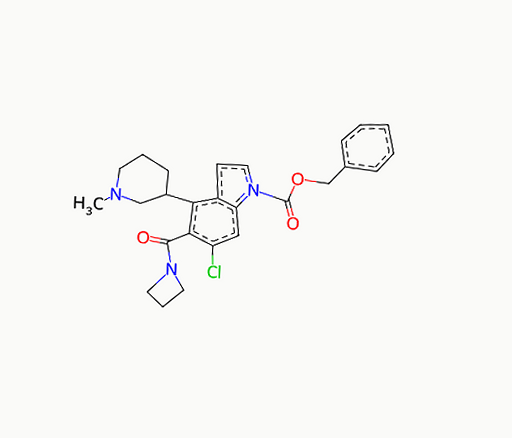 CN1CCCC(c2c(C(=O)N3CCC3)c(Cl)cc3c2ccn3C(=O)OCc2ccccc2)C1